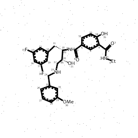 CCNC(=O)c1cc(C(=O)N[C@@H](Cc2cc(F)cc(F)c2)[C@H](O)CNCc2cccc(OC)c2)ccc1O